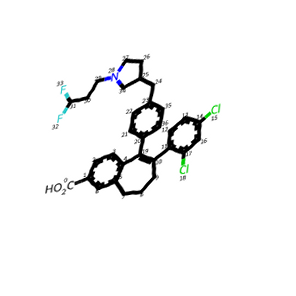 O=C(O)c1ccc2c(c1)CCCC(c1ccc(Cl)cc1Cl)=C2c1ccc(CC2CCN(CCC(F)F)C2)cc1